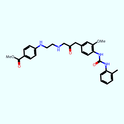 COC(=O)c1ccc(NCCNCC(=O)Cc2ccc(NC(=O)Nc3ccccc3C)c(OC)c2)cc1